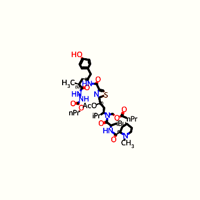 CCCOC(=O)NNC(=O)[C@@H](C)C[C@H](Cc1ccc(O)cc1)NC(=O)c1csc([C@@H](CC(C(C)C)N(COC(=O)CCC)C(=O)C(NC(=O)[C@H]2CCCCN2C)C(C)CC)OC(C)=O)n1